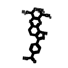 CC(C)c1nc2c(nc1C(C)C)-c1[nH]nc(-c3ccc(C(=O)O)cc3)c1CC2